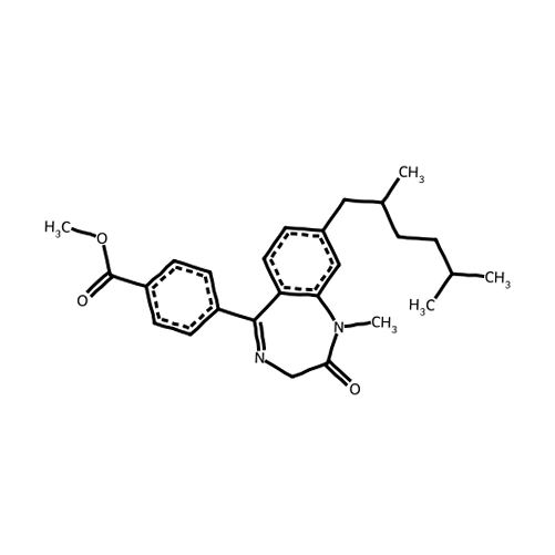 COC(=O)c1ccc(C2=NCC(=O)N(C)c3cc(CC(C)CCC(C)C)ccc32)cc1